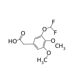 COc1cc(CC(=O)O)cc(OC(F)F)c1OC